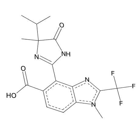 CC(C)C1(C)N=C(c2c(C(=O)O)ccc3c2nc(C(F)(F)F)n3C)NC1=O